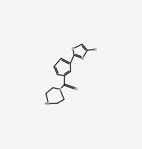 CCc1coc(-c2cccc(C(=O)N3CCNCC3)c2)n1